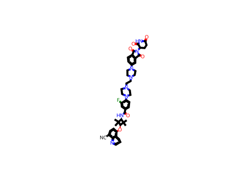 CC1(C)[C@H](NC(=O)c2ccc(N3CCN(CCN4CCN(c5ccc6c(c5)C(=O)N(C5CCC(=O)NC5=O)C6=O)CC4)CC3)c(F)c2)C(C)(C)[C@H]1Oc1ccc(C#N)c2ncccc12